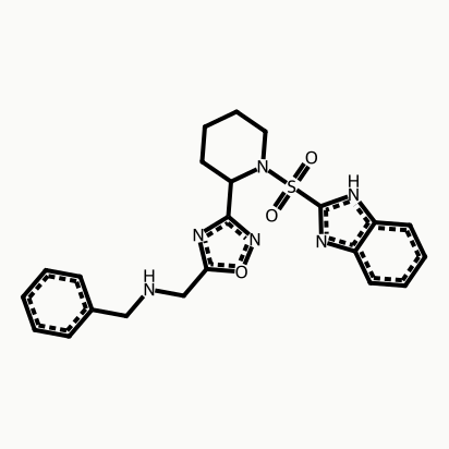 O=S(=O)(c1nc2ccccc2[nH]1)N1CCCCC1c1noc(CNCc2ccccc2)n1